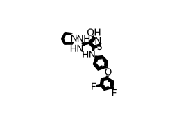 N=C(NN1CCCCC1)c1c(O)nsc1Nc1ccc(Oc2cc(F)cc(F)c2)cc1